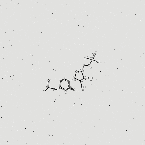 CC(=O)Nc1ccn([C@@H]2O[C@H](COP(=O)(Cl)Cl)C(O)C2O)c(=O)n1